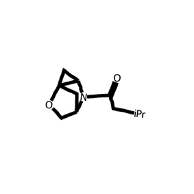 CC(C)CC(=O)N1C2COC3(C2)CC13